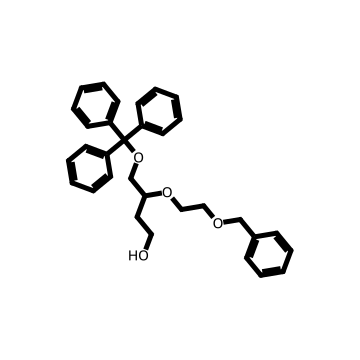 OCCC(COC(c1ccccc1)(c1ccccc1)c1ccccc1)OCCOCc1ccccc1